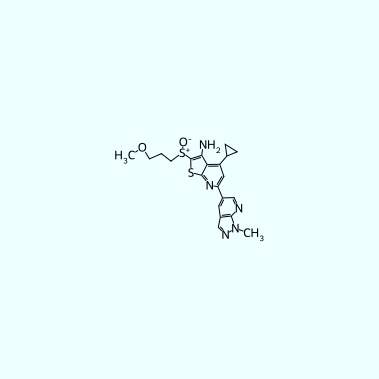 COCCC[S+]([O-])c1sc2nc(-c3cnc4c(cnn4C)c3)cc(C3CC3)c2c1N